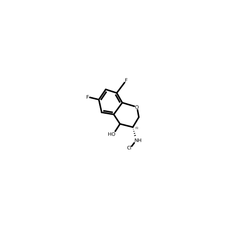 OC1c2cc(F)cc(F)c2OC[C@@H]1NCl